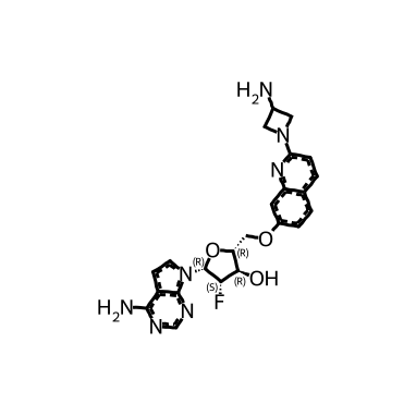 Nc1ncnc2c1ccn2[C@@H]1O[C@H](COc2ccc3ccc(N4CC(N)C4)nc3c2)[C@@H](O)[C@@H]1F